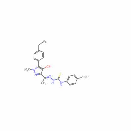 C/C(=N\NC(=S)Nc1ccc(C=O)cc1)c1nn(C)c(-c2ccc(CC(C)C)cc2)c1O